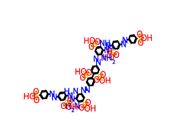 Nc1c(N=Nc2ccc(-c3ccc(N=Nc4cc(S(=O)(=O)O)c(N)c(/N=N/c5ccc(N=Nc6ccc(S(=O)(=O)O)cc6)cc5S(=O)(=O)O)c4N)cc3S(=O)(=O)O)c(S(=O)(=O)O)c2)cc(S(=O)(=O)O)c(N)c1N=Nc1ccc(N=Nc2ccc(S(=O)(=O)O)cc2)cc1S(=O)(=O)O